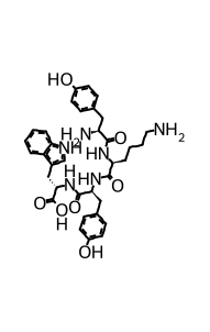 NCCCC[C@H](NC(=O)[C@@H](N)Cc1ccc(O)cc1)C(=O)N[C@@H](Cc1ccc(O)cc1)C(=O)N[C@@H](Cc1c[nH]c2ccccc12)C(=O)O